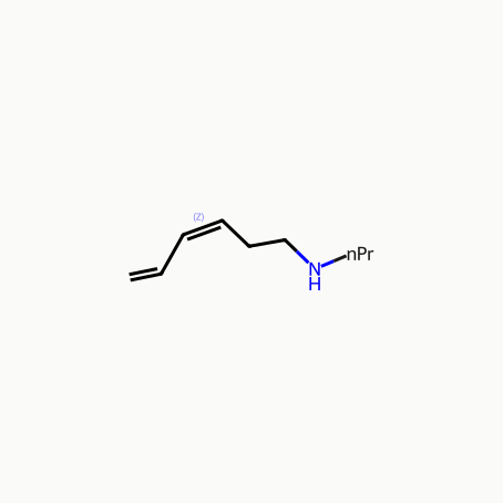 C=C/C=C\CCNCCC